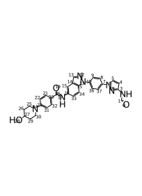 O=CNc1ccn(-c2ccc(-n3ncc4cc(NC(=O)c5ccc(N6CCC(O)CC6)cc5)ccc43)cc2)n1